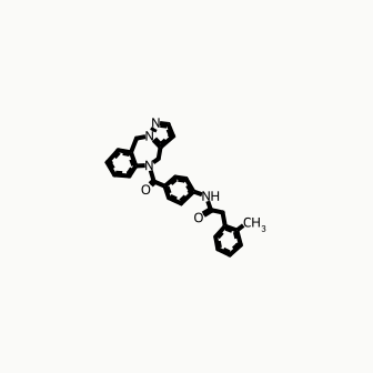 Cc1ccccc1CC(=O)Nc1ccc(C(=O)N2Cc3ccnn3Cc3ccccc32)cc1